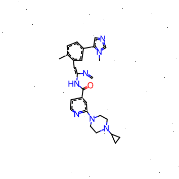 C=N/C(=C\c1cc(-c2cncn2C)ccc1C)NC(=O)c1ccnc(N2CCN(C3CC3)CC2)c1